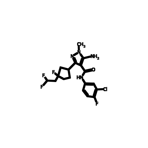 Cn1nc(C2CCC(F)(CC(F)F)C2)c(C(=O)Nc2ccc(F)c(Cl)c2)c1N